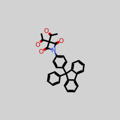 CC(=O)C1(C(C)=O)C(=O)N(c2ccc(C3(c4ccccc4)c4ccccc4-c4ccccc43)cc2)C1=O